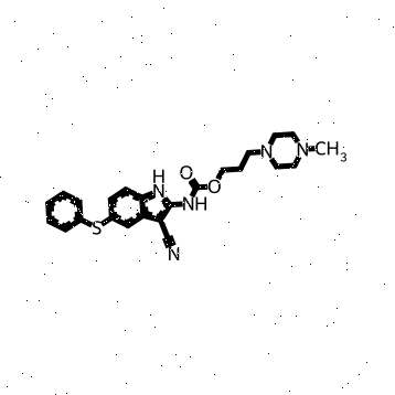 CN1CCN(CCCOC(=O)Nc2[nH]c3ccc(Sc4ccccc4)cc3c2C#N)CC1